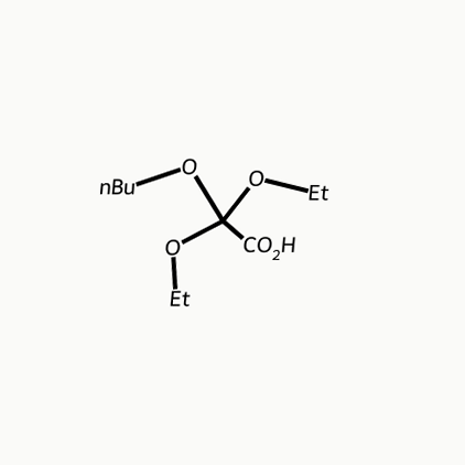 CCCCOC(OCC)(OCC)C(=O)O